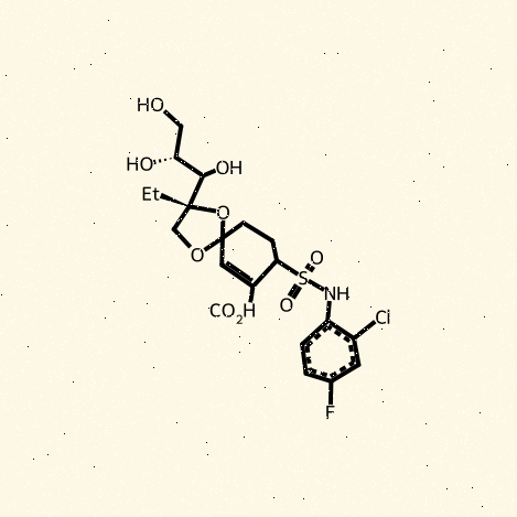 CC[C@]1(C(O)[C@H](O)CO)COC2(C=C(C(=O)O)C(S(=O)(=O)Nc3ccc(F)cc3Cl)CC2)O1